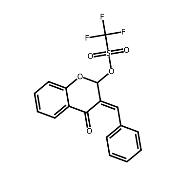 O=C1/C(=C\c2ccccc2)C(OS(=O)(=O)C(F)(F)F)Oc2ccccc21